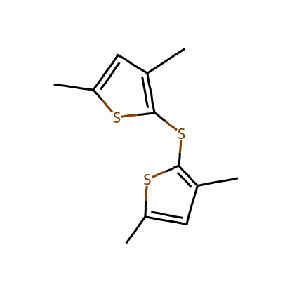 Cc1cc(C)c(Sc2sc(C)cc2C)s1